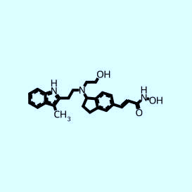 Cc1c(CCN(CCO)C2CCc3cc(/C=C/C(=O)NO)ccc32)[nH]c2ccccc12